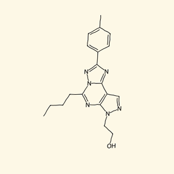 CCCCc1nc2c(cnn2CCO)c2nc(-c3ccc(C)cc3)nn12